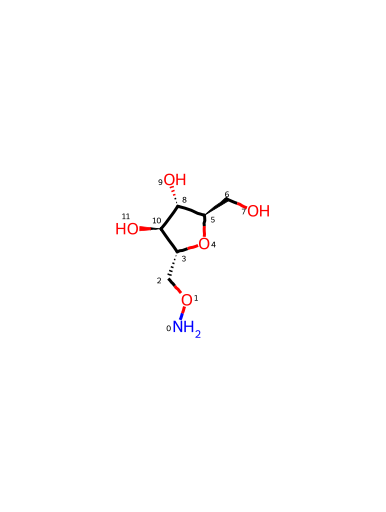 NOC[C@H]1O[C@H](CO)[C@@H](O)[C@@H]1O